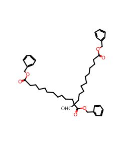 O=CC(CCCCCCCCCCC(=O)OCc1ccccc1)(CCCCCCCCCCC(=O)OCc1ccccc1)C(=O)OCc1ccccc1